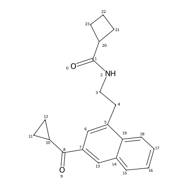 O=C(NCCc1cc(C(=O)C2CC2)cc2ccccc12)C1CCC1